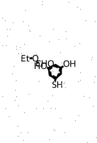 CCOC=O.Oc1cc(O)cc(S)c1